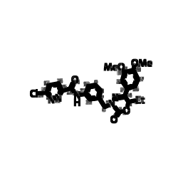 CCC1OC(=O)N(Cc2cccc(NC(=O)c3ccc(Cl)nn3)c2)N=C1c1ccc(OC)c(OC)c1